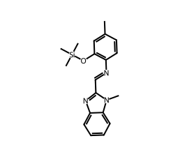 Cc1ccc(N=Cc2nc3ccccc3n2C)c(O[Si](C)(C)C)c1